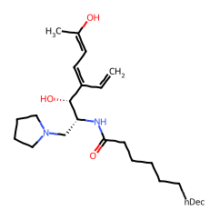 C=C/C(=C\C=C(/C)O)[C@@H](O)[C@@H](CN1CCCC1)NC(=O)CCCCCCCCCCCCCCC